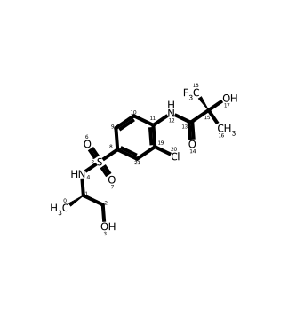 C[C@H](CO)NS(=O)(=O)c1ccc(NC(=O)[C@@](C)(O)C(F)(F)F)c(Cl)c1